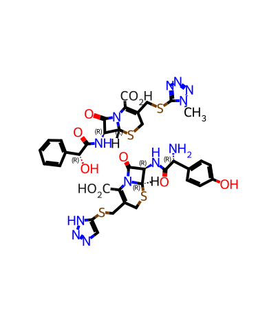 Cn1nnnc1SCC1=C(C(=O)O)N2C(=O)[C@@H](NC(=O)[C@H](O)c3ccccc3)[C@H]2SC1.N[C@@H](C(=O)N[C@@H]1C(=O)N2C(C(=O)O)=C(CSc3cnn[nH]3)CS[C@H]12)c1ccc(O)cc1